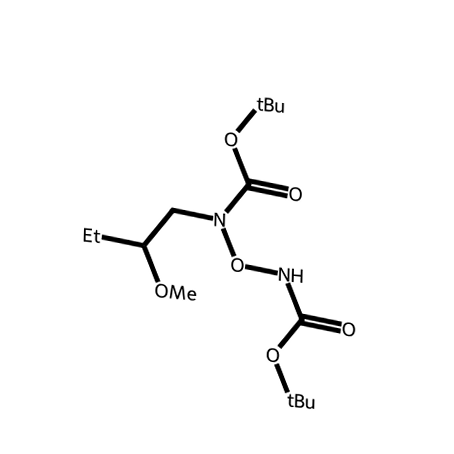 CCC(CN(ONC(=O)OC(C)(C)C)C(=O)OC(C)(C)C)OC